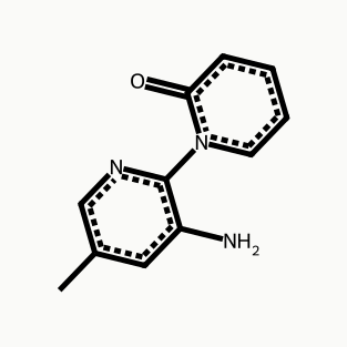 Cc1cnc(-n2ccccc2=O)c(N)c1